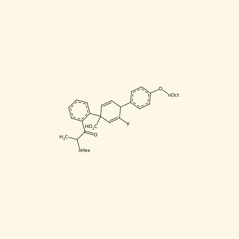 CCCCCCCCOc1ccc(C2C=CC(C(=O)O)(c3ccccc3C(=O)C(C)CCCCCC)C=C2F)cc1